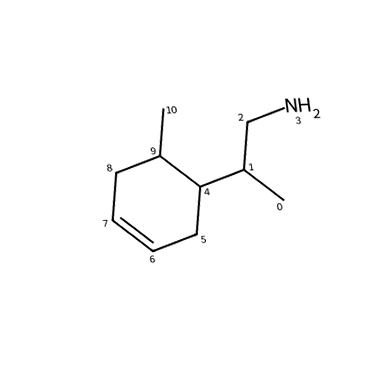 CC(CN)C1CC=CCC1C